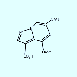 COc1cc(OC)c2c(C(=O)O)cnn2c1